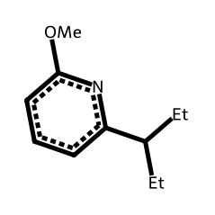 CCC(CC)c1cccc(OC)n1